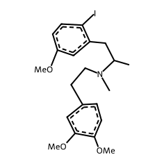 COc1ccc(I)c(CC(C)N(C)CCc2ccc(OC)c(OC)c2)c1